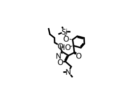 CCCCOc1noc(CN(C)C)c1C(=O)[C@]1(O)C=CC=C[C@H]1O[Si](C)(C)C